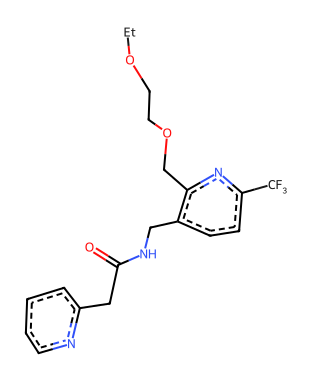 CCOCCOCc1nc(C(F)(F)F)ccc1CNC(=O)Cc1ccccn1